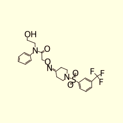 O=C(CON=C1CCN(S(=O)(=O)c2cccc(C(F)(F)F)c2)CC1)N(CCO)c1ccccc1